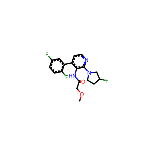 COCC(=O)Nc1c(-c2cc(F)ccc2F)ccnc1N1CCC(F)C1